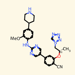 COc1cc(C2CCNCC2)ccc1Nc1ncc(-c2ccc(C#N)c(O[C@@H](C)Cn3cnnn3)c2)cn1